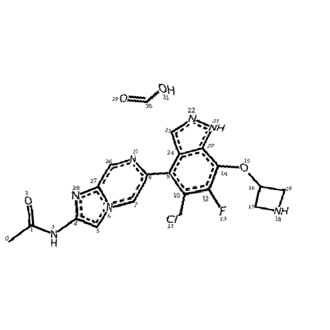 CC(=O)Nc1cn2cc(-c3c(Cl)c(F)c(OC4CNC4)c4[nH]ncc34)ncc2n1.O=CO